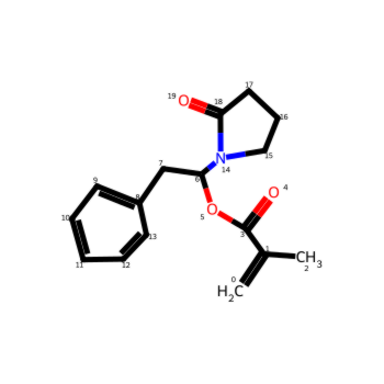 C=C(C)C(=O)OC(Cc1ccccc1)N1CCCC1=O